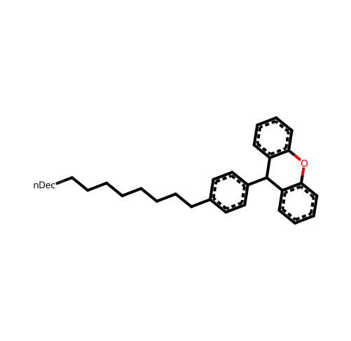 CCCCCCCCCCCCCCCCCCc1ccc(C2c3ccccc3Oc3ccccc32)cc1